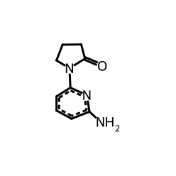 Nc1cccc(N2CCCC2=O)n1